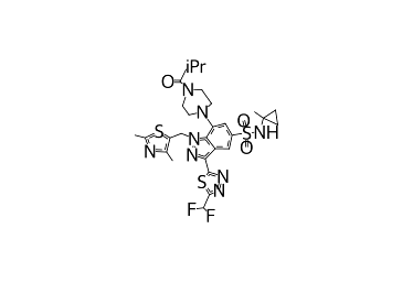 Cc1nc(C)c(Cn2nc(-c3nnc(C(F)F)s3)c3cc(S(=O)(=O)NC4(C)CC4)cc(N4CCN(C(=O)C(C)C)CC4)c32)s1